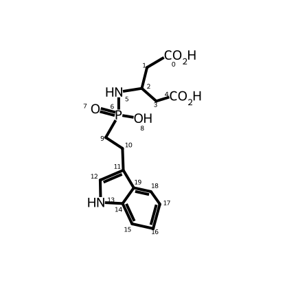 O=C(O)CC(CC(=O)O)NP(=O)(O)CCc1c[nH]c2ccccc12